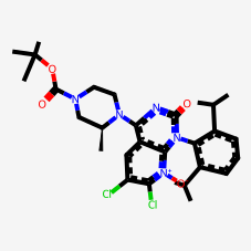 CC(C)c1cccc(C(C)C)c1-n1c(=O)nc(N2CCN(C(=O)OC(C)(C)C)C[C@@H]2C)c2cc(Cl)c(Cl)[n+]([O-])c21